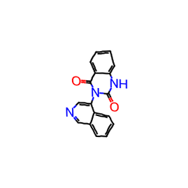 O=c1[nH]c2ccccc2c(=O)n1-c1cncc2ccccc12